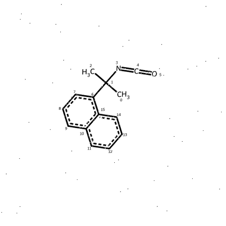 CC(C)(N=C=O)c1cccc2ccccc12